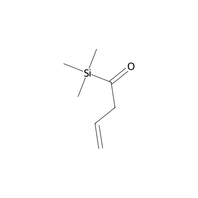 C=CCC(=O)[Si](C)(C)C